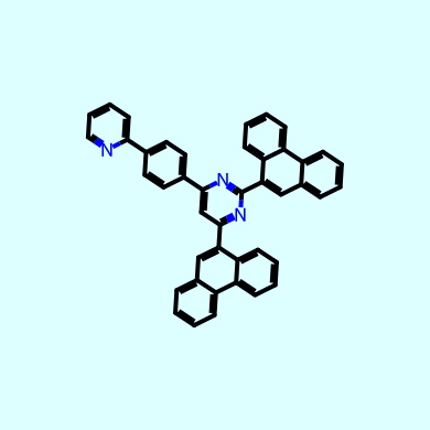 c1ccc(-c2ccc(-c3cc(-c4cc5ccccc5c5ccccc45)nc(-c4cc5ccccc5c5ccccc45)n3)cc2)nc1